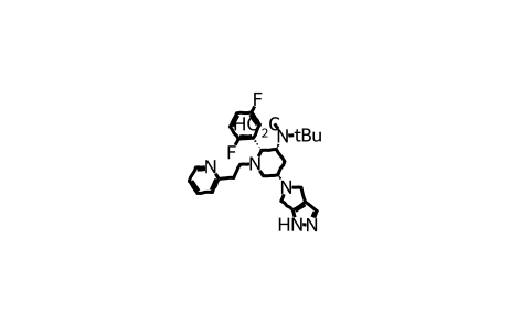 CC(C)(C)N(C(=O)O)[C@@H]1C[C@H](N2Cc3cn[nH]c3C2)CN(CCc2ccccn2)[C@@H]1c1cc(F)ccc1F